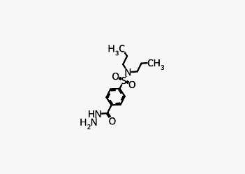 CCCN(CCC)S(=O)(=O)c1ccc(C(=O)NN)cc1